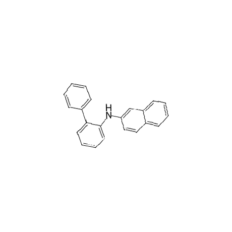 c1ccc(-c2ccccc2Nc2ccc3ccccc3c2)cc1